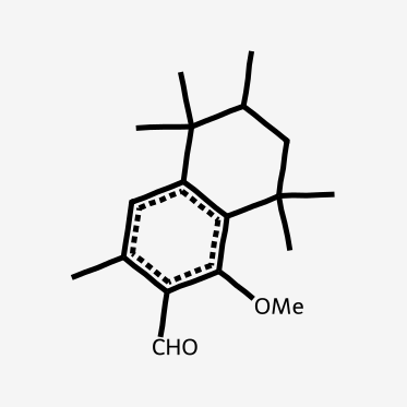 COc1c(C=O)c(C)cc2c1C(C)(C)CC(C)C2(C)C